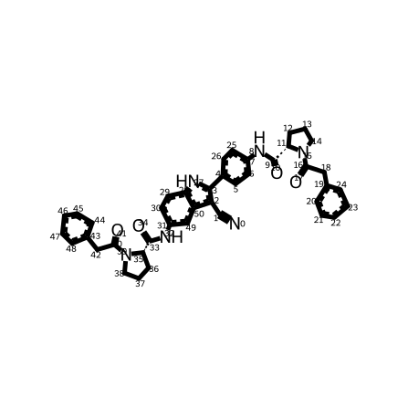 N#Cc1c(-c2ccc(NC(=O)[C@@H]3CCCN3C(=O)Cc3ccccc3)cc2)[nH]c2ccc(NC(=O)[C@@H]3CCCN3C(=O)Cc3ccccc3)cc12